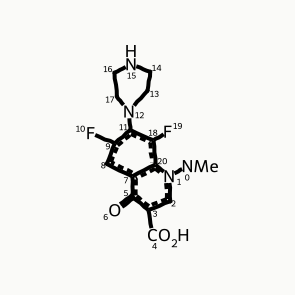 CNn1cc(C(=O)O)c(=O)c2cc(F)c(N3CCNCC3)c(F)c21